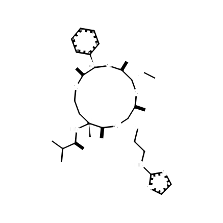 CC[C@@H]1NC(=O)[C@H](CCCNc2ncc[nH]2)NC(=O)[C@](C)(NC(=O)C(C)C)CCNC(=O)[C@@H](c2ccccc2)NC1=O